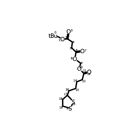 CC(C)(C)OC(=O)CCC(=O)OCOC(=O)CCCCC1CCSS1